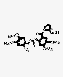 COc1cc(COC(=O)Nc2cc(OC)c(OC)cc2C(=O)N2CCC[C@H]2CO)c([N+](=O)[O-])cc1OC